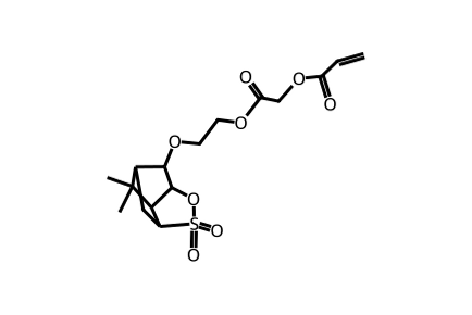 C=CC(=O)OCC(=O)OCCOC1C2OS(=O)(=O)C3CC1C(C)(C)C23